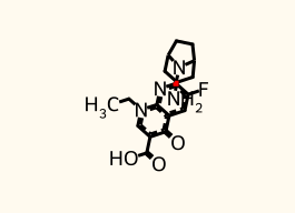 CCn1cc(C(=O)O)c(=O)c2cc(F)c(N3C4CCC3CC(N)C4)nc21